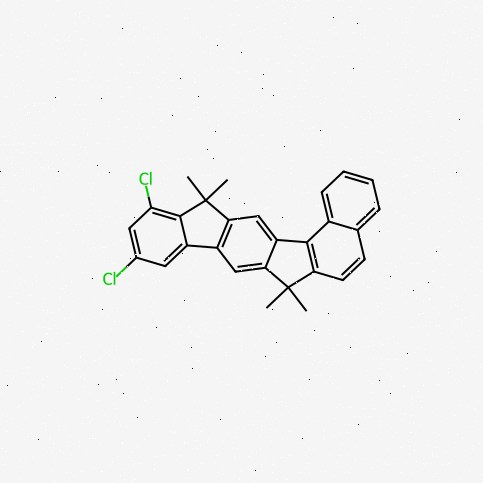 CC1(C)c2cc3c(cc2-c2c1ccc1ccccc21)C(C)(C)c1c(Cl)cc(Cl)cc1-3